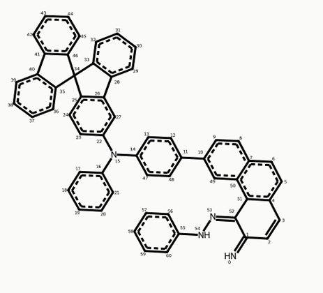 N=C1C=Cc2ccc3ccc(-c4ccc(N(c5ccccc5)c5ccc6c(c5)-c5ccccc5C65c6ccccc6-c6ccccc65)cc4)cc3c2/C1=N/Nc1ccccc1